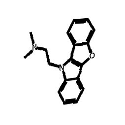 CN(C)CCn1c2ccccc2c2oc3ccccc3c21